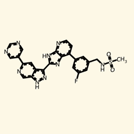 CS(=O)(=O)NCc1cc(F)cc(-c2ccnc3[nH]c(-c4n[nH]c5cnc(-c6cncnc6)cc45)nc23)c1